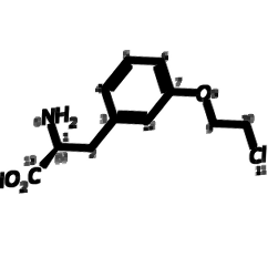 N[C@@H](Cc1cccc(OCCCl)c1)C(=O)O